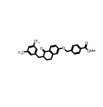 COC(=O)c1ccc(COc2ccc3c(c2)CCC(Cc2cc(C(F)(F)F)cc(C(F)(F)F)c2)C3=O)cc1